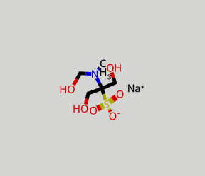 CN(CO)C(CO)(CO)S(=O)(=O)[O-].[Na+]